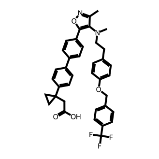 Cc1noc(-c2ccc(-c3ccc(C4(CC(=O)O)CC4)cc3)cc2)c1N(C)CCc1ccc(OCc2ccc(C(F)(F)F)cc2)cc1